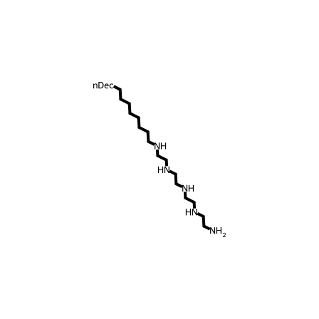 CCCCCCCCCCCCCCCCCCNCCNCCNCCNCCN